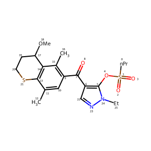 CCCS(=O)(=O)Oc1c(C(=O)c2cc(C)c3c(c2C)C(OC)CCS3)cnn1CC